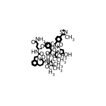 Cc1ncsc1-c1ccc([C@H](C)NC(=O)[C@@H]2C[C@@H](O)CN2C(=O)[C@@H](NC(=O)Cc2cccc(OC[C@H](CCC(N)=O)NC(=O)[C@@H]3Cc4cccc5c4N3C(=O)[C@@H](NC(=O)OC(C)(C)C)CC5)c2)C(C)(C)C)cc1